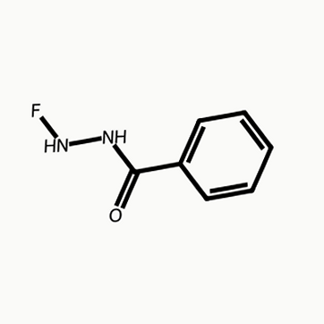 O=C(NNF)c1ccccc1